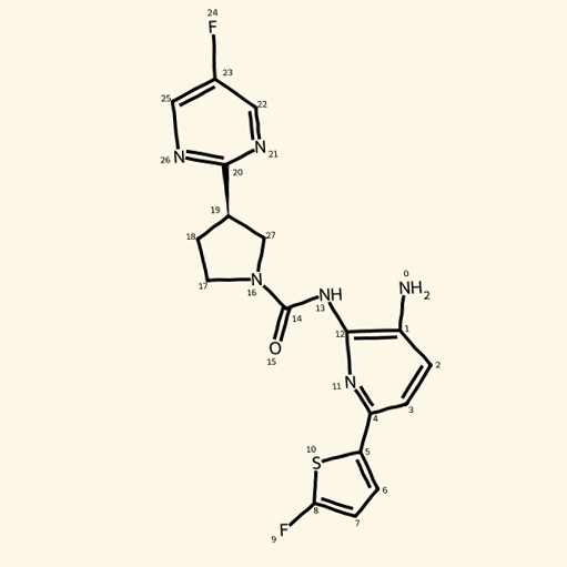 Nc1ccc(-c2ccc(F)s2)nc1NC(=O)N1CC[C@@H](c2ncc(F)cn2)C1